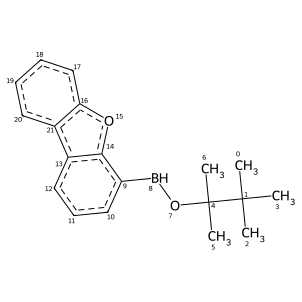 CC(C)(C)C(C)(C)OBc1cccc2c1oc1ccccc12